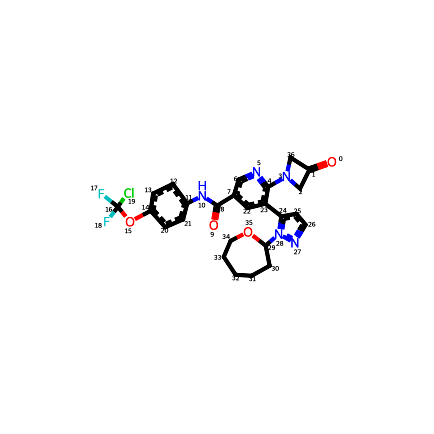 O=C1CN(c2ncc(C(=O)Nc3ccc(OC(F)(F)Cl)cc3)cc2-c2ccnn2C2CCCCCO2)C1